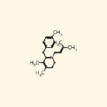 CC(C)=CCN1CCC(C)=C(C)C1Cc1ccc(C)cc1